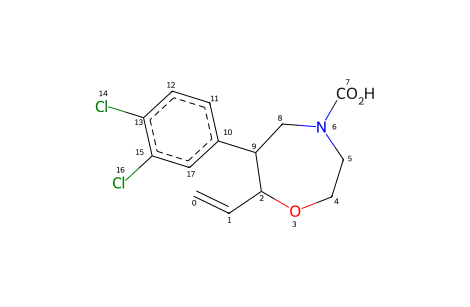 C=CC1OCCN(C(=O)O)CC1c1ccc(Cl)c(Cl)c1